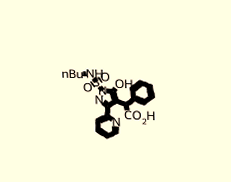 CCCCNS(=O)(=O)n1nc(-c2ccccn2)c(C(C(=O)O)c2ccccc2)c1O